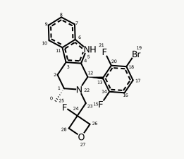 C[C@@H]1Cc2c([nH]c3ccccc23)[C@@H](c2c(F)ccc(Br)c2F)N1CC1(F)COC1